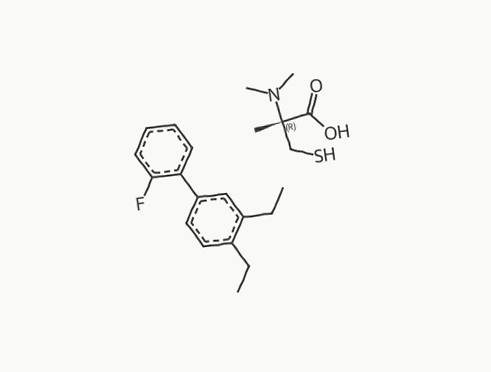 CCc1ccc(-c2ccccc2F)cc1CC.CN(C)[C@@](C)(CS)C(=O)O